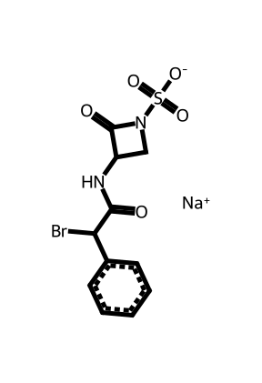 O=C(NC1CN(S(=O)(=O)[O-])C1=O)C(Br)c1ccccc1.[Na+]